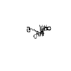 CCC(=O)CCCCC[C@H](NC=O)c1ncc(-c2cc3ccccc3nc2OC)[nH]1